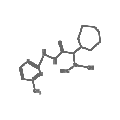 Cc1ccnc(NNC(=O)C(C2CCCCCC2)N(O)C=O)n1